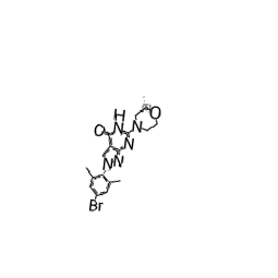 Cc1cc(Br)cc(C)c1-n1cc2c(=O)[nH]c(N3CCO[C@@H](C)C3)nc2n1